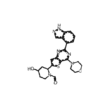 O=CN1CCC(O)CC1c1cc2nc(-c3cccc4[nH]ncc34)nc(N3CCOCC3)c2s1